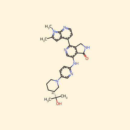 Cc1cc2c(-c3ncc(Nc4ccc(N5CCC[C@@H](C(C)(C)O)C5)cn4)c4c3CNC4=O)ccnc2n1C